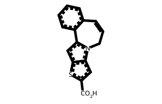 O=C(O)c1cc2c(cc3n2CC=Cc2ccccc2-3)s1